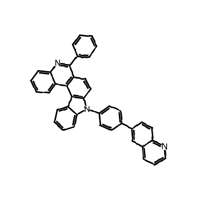 c1ccc(-c2nc3ccccc3c3c2ccc2c3c3ccccc3n2-c2ccc(-c3ccc4ncccc4c3)cc2)cc1